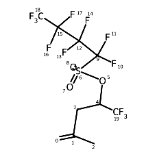 C=C(C)CC(OS(=O)(=O)C(F)(F)C(F)(F)C(F)(F)C(F)(F)F)C(F)(F)F